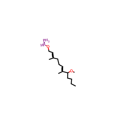 CCCCC(OC)/C(C)=C/CC/C(C)=C/COPP